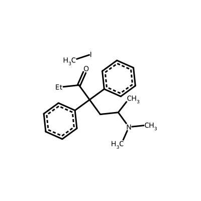 CCC(=O)C(CC(C)N(C)C)(c1ccccc1)c1ccccc1.CI